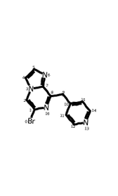 Brc1cn2ccnc2c([CH]c2ccncc2)n1